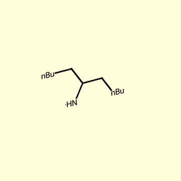 CCCCCC([NH])CCCCC